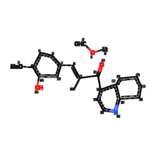 CCOC=O.COc1ccc(/C=C(\C)C(=O)c2ccnc3ccccc23)cc1O